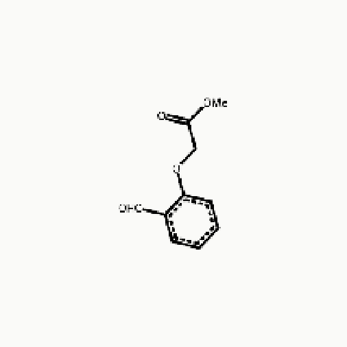 COC(=O)COc1ccccc1C=O